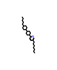 CCCCCCCc1ccc(C2CCC(C3CCC(CCCCC)CC3)CC2)nc1